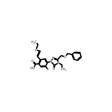 CCO/C=C/c1cc(-n2nc(COCc3ccccc3)n(CC)c2=O)c(F)cc1C(=O)O